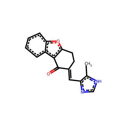 Cc1[nH]cnc1C=C1CCc2oc3ccccc3c2C1=O